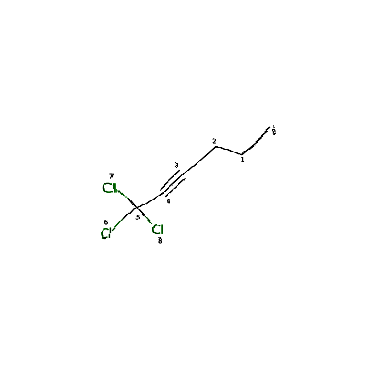 [CH2]CCC#CC(Cl)(Cl)Cl